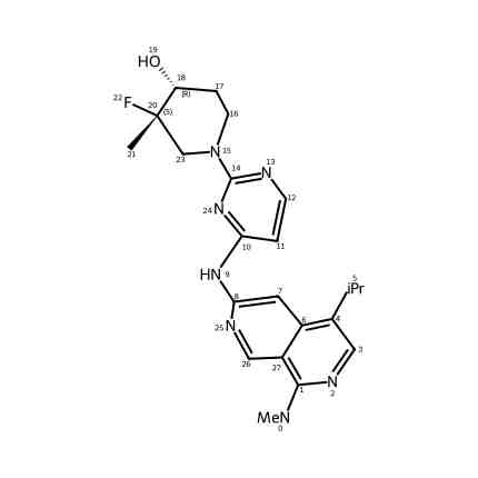 CNc1ncc(C(C)C)c2cc(Nc3ccnc(N4CC[C@@H](O)[C@@](C)(F)C4)n3)ncc12